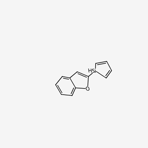 C1=C[SiH](c2cc3ccccc3o2)C=C1